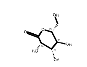 O=C1O[C@H](CO)[C@@H](O)[C@H](O)[C@@H]1O